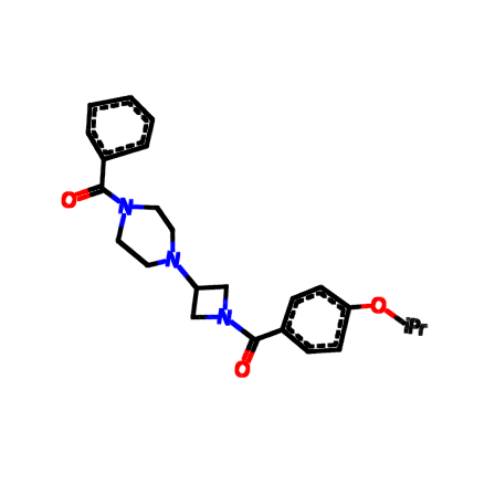 CC(C)Oc1ccc(C(=O)N2CC(N3CCN(C(=O)c4ccccc4)CC3)C2)cc1